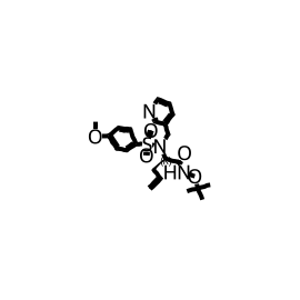 C=CC[C@H](C(=O)NOC(C)(C)C)N(Cc1cccnc1)S(=O)(=O)c1ccc(OC)cc1